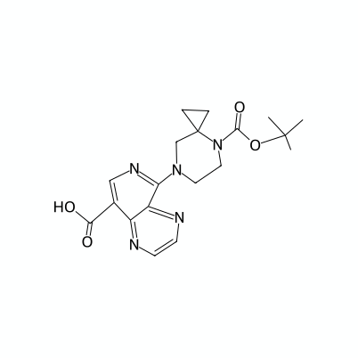 CC(C)(C)OC(=O)N1CCN(c2ncc(C(=O)O)c3nccnc23)CC12CC2